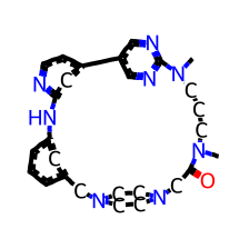 CN1CCCN(C)c2ncc(cn2)-c2ccnc(c2)Nc2cccc(c2)CN2CCN(CC2)CC1=O